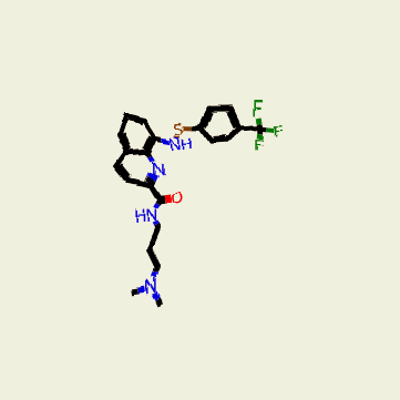 CN(C)CCCNC(=O)c1ccc2cccc(NSc3ccc(C(F)(F)F)cc3)c2n1